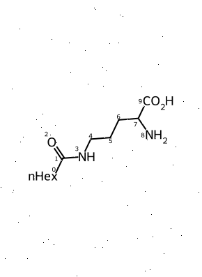 CCCCCCC(=O)NCCCC(N)C(=O)O